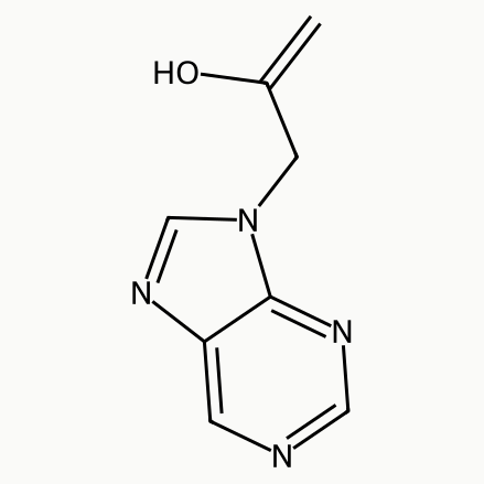 C=C(O)Cn1cnc2cncnc21